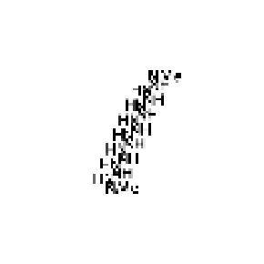 CNNNNNNNNNNNNNNNNC